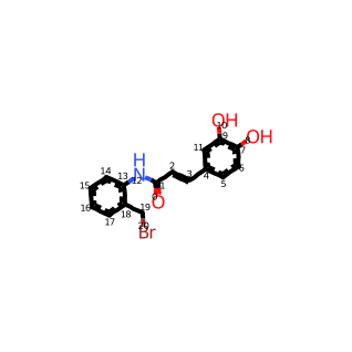 O=C(C=Cc1ccc(O)c(O)c1)Nc1ccccc1CBr